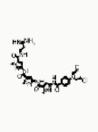 Cn1nc(NC(=O)c2cc(NC(=O)c3cc(NC(=O)c4ccc(N(CCCl)CCCl)cc4)nn3C)nn2C)cc1C(=O)NCCC(=N)N